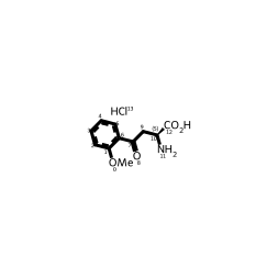 COc1ccccc1C(=O)C[C@H](N)C(=O)O.Cl